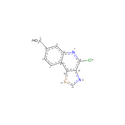 O=C(O)c1ccc2c(c1)nc(Cl)c1ncsc12